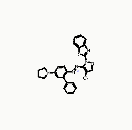 N#Cc1cnn(-c2nc3ccccc3s2)c1/N=N/c1ccc(N2CCCC2)cc1-c1ccccc1